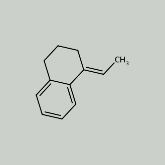 CC=C1CCCc2ccccc21